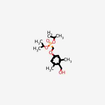 Cc1cc(OCP(=O)(OC(C)C)OC(C)C)cc(C)c1CO